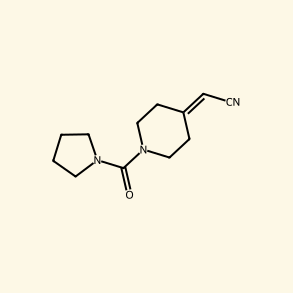 N#CC=C1CCN(C(=O)N2CCCC2)CC1